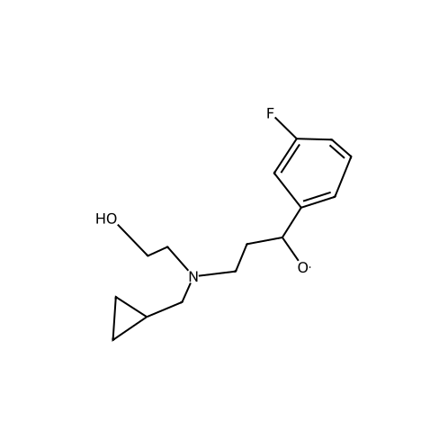 [O]C(CCN(CCO)CC1CC1)c1cccc(F)c1